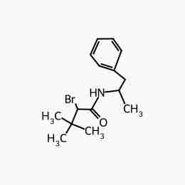 CC(Cc1ccccc1)NC(=O)C(Br)C(C)(C)C